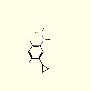 Cc1cc(C)c(N(C)[S+](C)[O-])cc1C1CC1